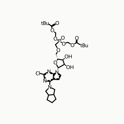 CC(C)(C)C(=O)OCOP(=O)(COC[C@H]1O[C@@H](n2ccc3c(N4CC5CCCC5C4)nc(Cl)nc32)[C@H](O)[C@@H]1O)OCOC(=O)C(C)(C)C